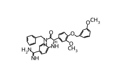 COc1cccc(COc2ccc([C@@H](Nc3ccc(C(=N)N)cc3)C(=O)NCc3ccccc3)cc2OC)c1